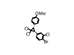 COc1ccc([C@@H]2[C@@H](c3ccc(Br)c(Cl)c3)C2(Cl)Cl)cc1